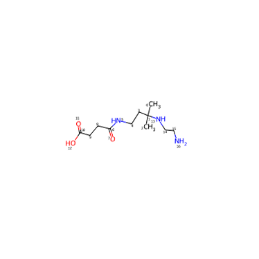 CC(C)(CCNC(=O)CCC(=O)O)NCCN